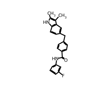 Cc1[nH]c2ccc(Cc3ccc(C(=O)Nc4cccc(F)c4)cc3)cc2c1C